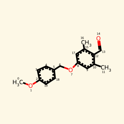 COc1ccc(COc2cc(C)c(C=O)c(C)c2)cc1